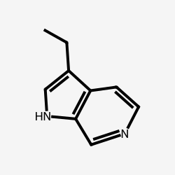 CCc1c[nH]c2cnccc12